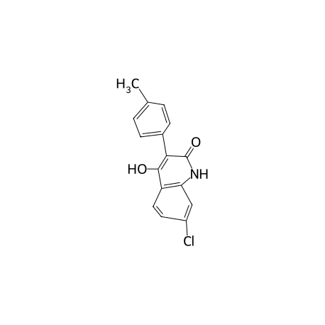 Cc1ccc(-c2c(O)c3ccc(Cl)cc3[nH]c2=O)cc1